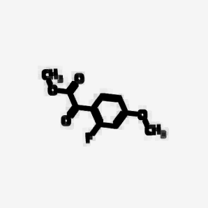 COC(=O)C(=O)c1ccc(OC)cc1F